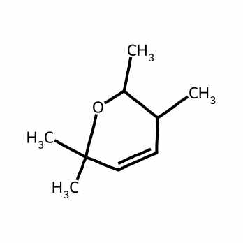 CC1C=CC(C)(C)OC1C